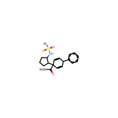 CNC(=O)C1(C2CCCC2NS(=O)(=O)C(C)C)C=CC(c2ccccc2)C=C1